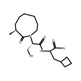 CC(=O)C(=O)C(CC1CCC1)NC(=O)[C@H](CC(C)C)N1CCCCCC[C@H](C)C1=O